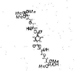 CO[Si](CO)(CCCOCC(O)COC(=O)c1ccc(C(=O)OCC(O)COCCC[Si](OC)(OC)OC)cc1)OC